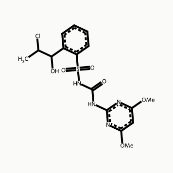 COc1cc(OC)nc(NC(=O)NS(=O)(=O)c2ccccc2C(O)C(C)Cl)n1